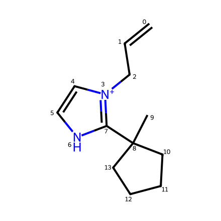 C=CC[n+]1cc[nH]c1C1(C)CCCC1